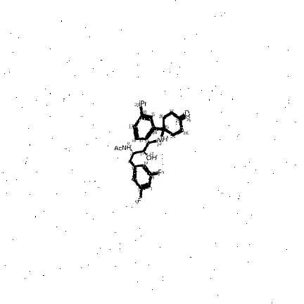 CC(=O)N[C@@H](Cc1cc(F)cc(F)c1)[C@H](O)CNC1(c2cccc(C(C)C)c2)CCC(=O)CC1